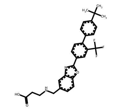 CC(C)(C)c1ccc(-c2ccc(-c3nc4cc(CNCCC(=O)O)ccc4o3)cc2C(F)(F)F)cc1